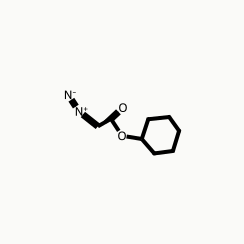 [N-]=[N+]=CC(=O)OC1CCCCC1